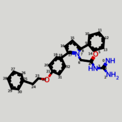 N=C(N)NC(=O)Cn1c(-c2ccccc2)ccc1-c1ccc(OCCc2ccccc2)cc1